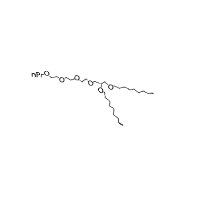 C=CCCCCCCCOCC(COCCOCCOCCOCCC)OCCCCCCCC=C